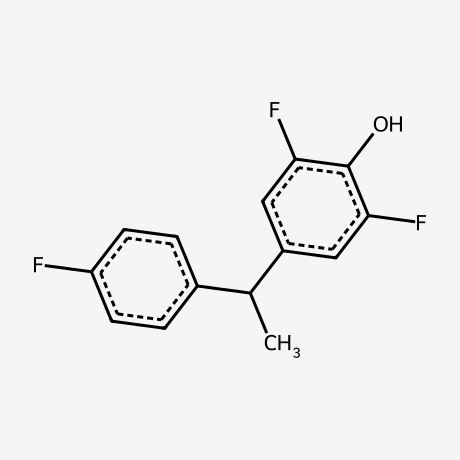 CC(c1ccc(F)cc1)c1cc(F)c(O)c(F)c1